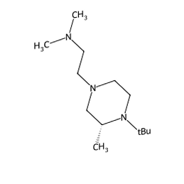 C[C@@H]1CN(CCN(C)C)CCN1C(C)(C)C